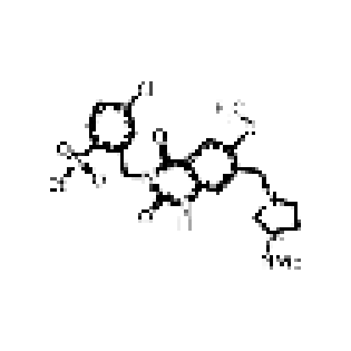 CCS(=O)(=O)c1ccc(Cl)cc1Cn1c(=O)[nH]c2cc(CN3CC[C@@H](NC)C3)c(OC(F)(F)F)cc2c1=O